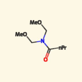 CCCC(=O)N(COC)COC